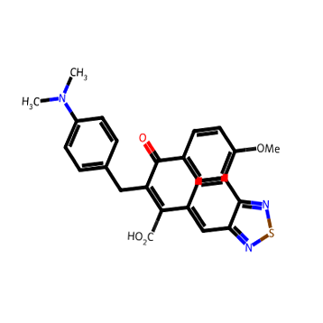 COc1ccc(C(=O)/C(Cc2ccc(N(C)C)cc2)=C(/C(=O)O)c2ccc3nsnc3c2)cc1